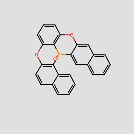 O=P12c3cc4ccccc4cc3Oc3cccc(c31)Oc1ccc3ccccc3c12